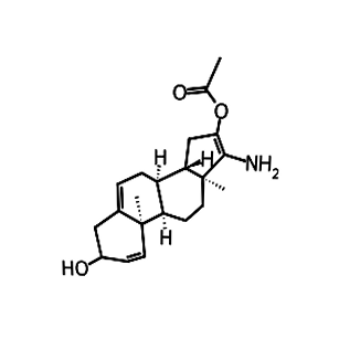 CC(=O)OC1=C(N)[C@@]2(C)CC[C@@H]3[C@@H](CC=C4CC(O)C=C[C@@]43C)[C@@H]2C1